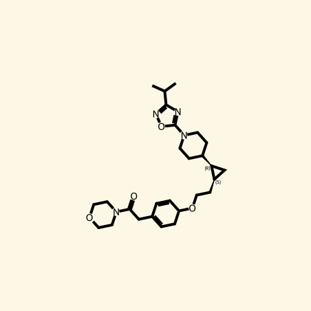 CC(C)c1noc(N2CCC([C@H]3C[C@H]3CCOC3C=CC(CC(=O)N4CCOCC4)=CC3)CC2)n1